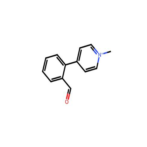 C[n+]1ccc(-c2ccccc2C=O)cc1